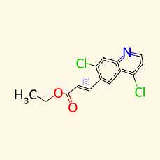 CCOC(=O)/C=C/c1cc2c(Cl)ccnc2cc1Cl